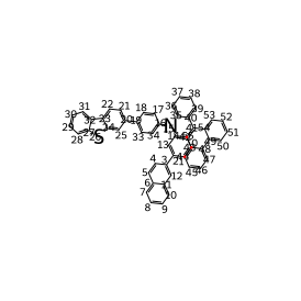 c1cc(-c2ccc3ccccc3c2)cc(N(c2ccc(-c3ccc4c(c3)sc3ccccc34)cc2)c2ccccc2-c2cc3ccccc3c3ccccc23)c1